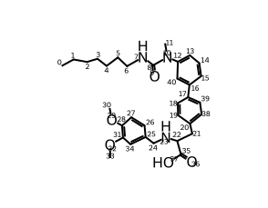 CCCCCCCNC(=O)N(C)c1cccc(-c2ccc(CC(NCc3ccc(OC)c(OC)c3)C(=O)O)cc2)c1